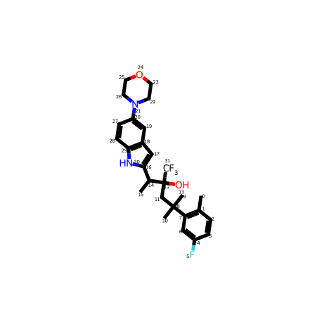 Cc1ccc(F)cc1C(C)(C)CC(O)(C(C)c1cc2cc(N3CCOCC3)ccc2[nH]1)C(F)(F)F